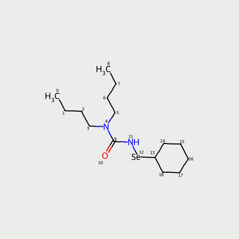 CCCCN(CCCC)C(=O)N[Se]C1CCCCC1